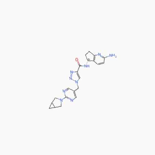 Nc1ccc2c(n1)CC[C@H]2NC(=O)c1cn(Cc2cnc(N3CC4CC4C3)nc2)nn1